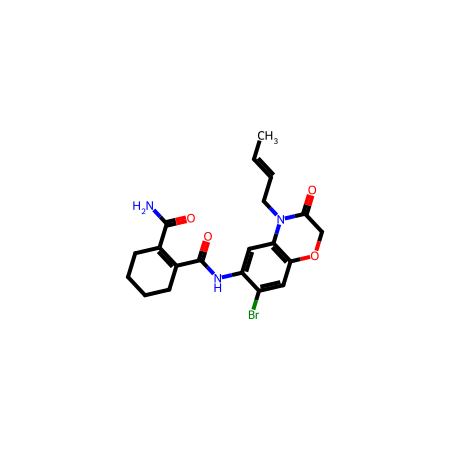 C/C=C/CN1C(=O)COc2cc(Br)c(NC(=O)C3=C(C(N)=O)CCCC3)cc21